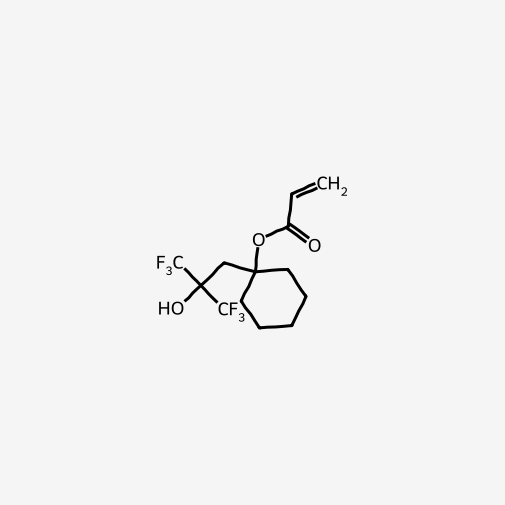 C=CC(=O)OC1(CC(O)(C(F)(F)F)C(F)(F)F)CCCCC1